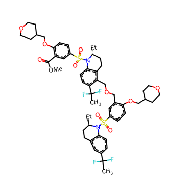 CC[C@@H]1CCc2cc(C(C)(F)F)ccc2N1S(=O)(=O)c1ccc(OCC2CCOCC2)c(COCc2c(C(C)(F)F)ccc3c2CC[C@@H](CC)N3S(=O)(=O)c2ccc(OCC3CCOCC3)c(C(=O)OC)c2)c1